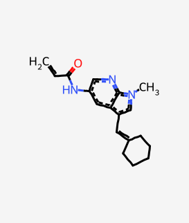 C=CC(=O)Nc1cnc2c(c1)c(C=C1CCCCC1)cn2C